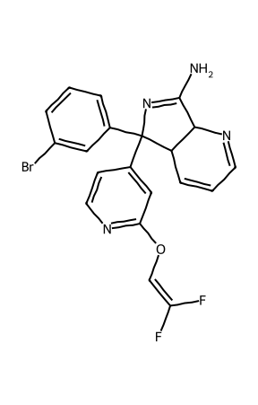 NC1=NC(c2cccc(Br)c2)(c2ccnc(OC=C(F)F)c2)C2C=CC=NC12